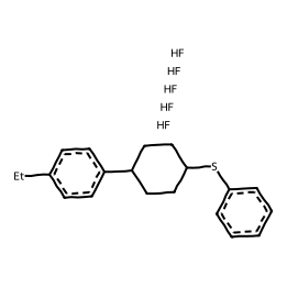 CCc1ccc(C2CCC(Sc3ccccc3)CC2)cc1.F.F.F.F.F